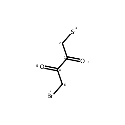 O=C(C[S])C(=O)CBr